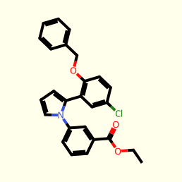 CCOC(=O)c1cccc(-n2cccc2-c2cc(Cl)ccc2OCc2ccccc2)c1